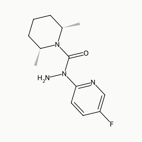 C[C@@H]1CCC[C@H](C)N1C(=O)N(N)c1ccc(F)cn1